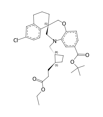 CCOC(=O)CC[C@@H]1CC[C@H]1CN1C[C@@]2(CCCc3cc(Cl)ccc32)COc2ccc(C(=O)OC(C)(C)C)cc21